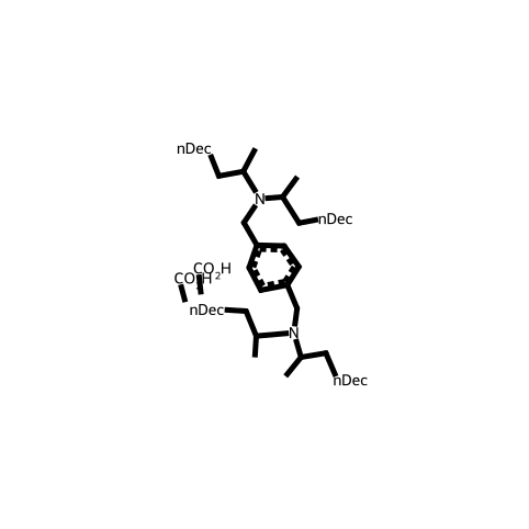 CC(=O)O.CC(=O)O.CCCCCCCCCCCC(C)N(Cc1ccc(CN(C(C)CCCCCCCCCCC)C(C)CCCCCCCCCCC)cc1)C(C)CCCCCCCCCCC